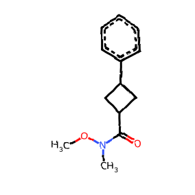 CON(C)C(=O)C1CC(c2ccccc2)C1